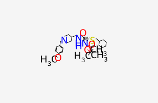 COc1ccc(CN2CCC(CNC(=O)[C@H](CSCC3CCCCC3)NC(=O)OC(C)(C)C)CC2)cc1